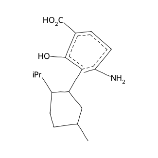 CC1CCC(C(C)C)C(c2c(N)ccc(C(=O)O)c2O)C1